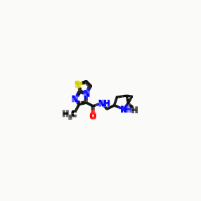 Cc1nc2sccn2c1C(=O)NCC1CC2C[C@@H]2N1